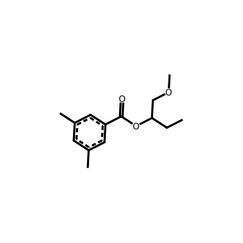 CCC(COC)OC(=O)c1cc(C)cc(C)c1